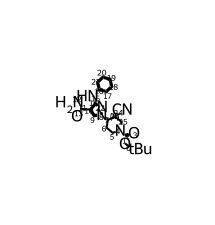 CC(C)(C)OC(=O)N1CCC(n2cc(C(N)=O)c(Nc3ccccc3)n2)[C@H](C#N)C1